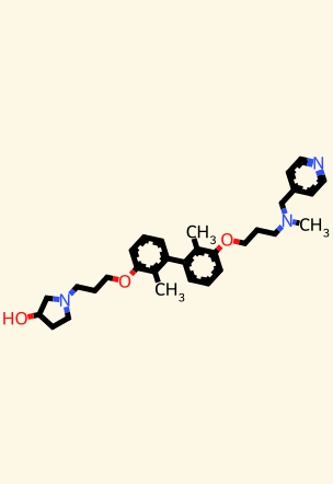 Cc1c(OCCCN(C)Cc2ccncc2)cccc1-c1cccc(OCCCN2CCC(O)C2)c1C